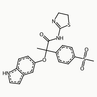 CC(Oc1ccc2[nH]ccc2c1)(C(=O)NC1=NCCS1)c1ccc(S(C)(=O)=O)cc1